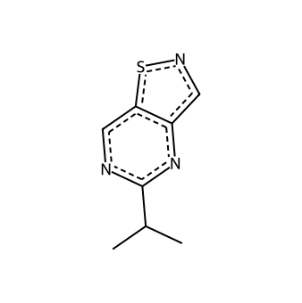 CC(C)c1ncc2sncc2n1